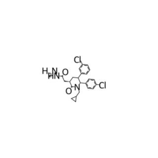 NNC(=O)C[C@H]1CC(c2cccc(Cl)c2)C(c2ccc(Cl)cc2)N(CC2CC2)C1=O